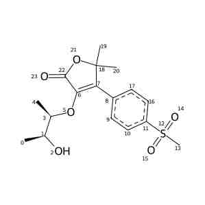 C[C@H](O)[C@@H](C)OC1=C(c2ccc(S(C)(=O)=O)cc2)C(C)(C)OC1=O